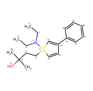 CCN(CC)S1(CCC(C)(C)O)C=CC(c2ccccc2)=C1